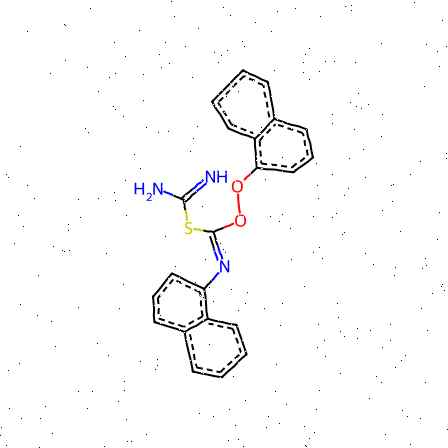 N=C(N)SC(=Nc1cccc2ccccc12)OOc1cccc2ccccc12